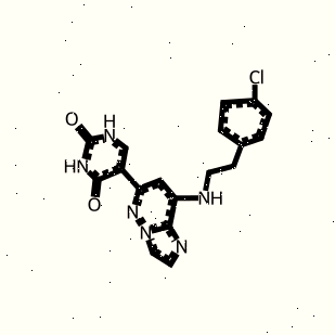 O=c1[nH]cc(-c2cc(NCCc3ccc(Cl)cc3)c3nccn3n2)c(=O)[nH]1